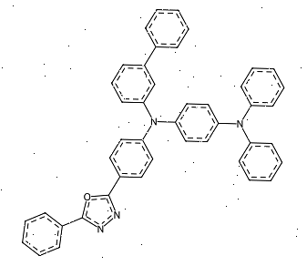 c1ccc(-c2cccc(N(c3ccc(-c4nnc(-c5ccccc5)o4)cc3)c3ccc(N(c4ccccc4)c4ccccc4)cc3)c2)cc1